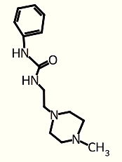 CN1CCN(CCNC(=O)Nc2ccccc2)CC1